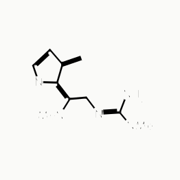 C=c1cc[nH]/c1=C(/C/N=C(\N)NC)NC